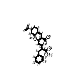 C=C(C)[C@H]1CCC2=Cc3c(cc(C(Cc4ccccc4)C(=O)O)oc3=O)O[C@H]2C1